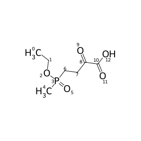 CCOP(C)(=O)CCC(=O)C(=O)O